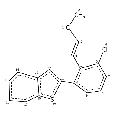 CO/C=C/c1c(Cl)cccc1-c1cc2ccccc2s1